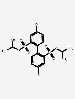 CC(C)OS(=O)(=O)c1cc(Br)ccc1-c1ccc(Br)cc1S(=O)(=O)OC(C)C